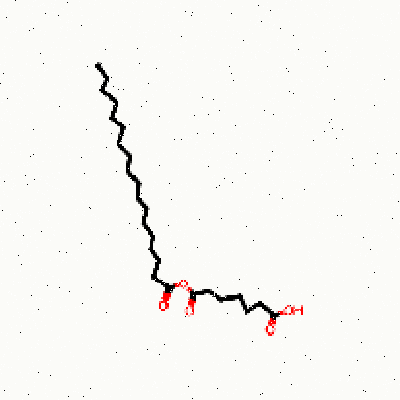 CCCCCCCCCCCCCCCCCC(=O)OC(=O)CCCCCC(=O)O